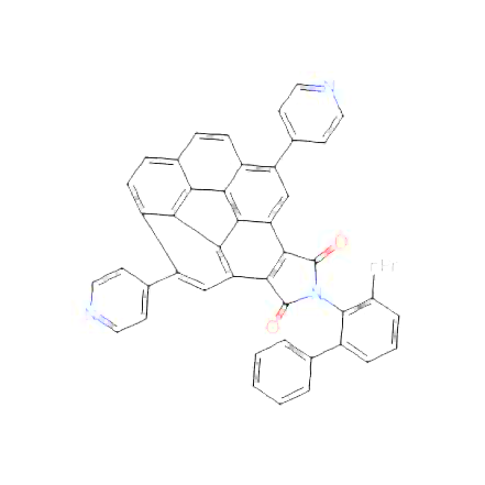 CCCc1cccc(-c2ccccc2)c1-n1c(=O)c2c3cc(-c4ccncc4)c4ccc5ccc6c(-c7ccncc7)cc(c2c1=O)c1c6c5c4c31